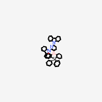 c1ccc([Si]2(c3ccccc3)c3ccccc3B(c3ccc(-n4c5ccccc5c5ccccc54)nc3-n3c4ccccc4c4ccccc43)c3ccccc32)cc1